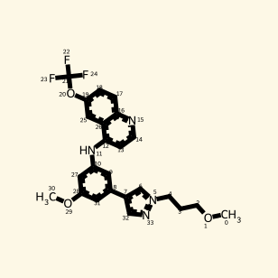 COCCCn1cc(-c2cc(Nc3ccnc4ccc(OC(F)(F)F)cc34)cc(OC)c2)cn1